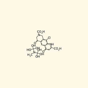 CN(C(O)(O)O)C(O)(O)O.O=C(O)c1cc(=O)c2cc3c(c(Cl)c2[nH]1)CN(C(=O)O)CC3=O